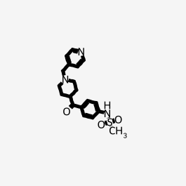 CS(=O)(=O)Nc1ccc(C(=O)C2CCN(Cc3ccncc3)CC2)cc1